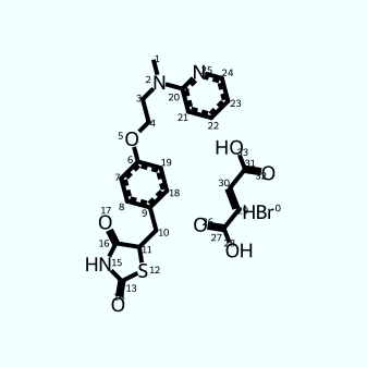 Br.CN(CCOc1ccc(CC2SC(=O)NC2=O)cc1)c1ccccn1.O=C(O)C=CC(=O)O